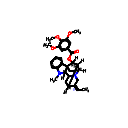 C/C=C1\CN2C3C[C@@H]1[C@@H]1[C@@H](OC(=O)c4cc(OC)c(OC)c(OC)c4)C4(C[C@@H]12)c1ccccc1N(C)[C@@H]34